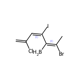 BC(/C(I)=C\C(=C)Cl)=C(/C)Br